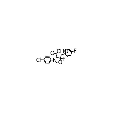 O=CC(=O)C1N(c2ccc(Cl)cc2)COC1(F)Cc1ccc(F)cc1